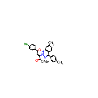 COC(=O)C(=CC(=O)c1ccc(Br)cc1)NN=C(c1ccc(C)cc1)c1ccc(C)cc1